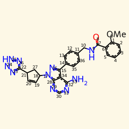 COc1ccccc1C(=O)NCc1ccc(-c2nn(C3C=CC(c4nn[nH]n4)C3)c3ncnc(N)c23)cc1